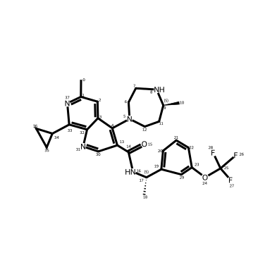 Cc1cc2c(N3CCN[C@@H](C)CC3)c(C(=O)N[C@@H](C)c3cccc(OC(F)(F)F)c3)cnc2c(C2CC2)n1